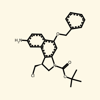 CC(C)(C)OC(=O)N1C[C@@H](CCl)c2c1cc(OCc1ccccc1)c1ccc(N)cc21